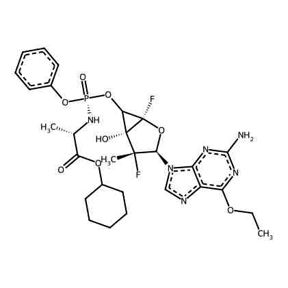 CCOc1nc(N)nc2c1ncn2[C@@H]1O[C@]2(F)C(O[P@@](=O)(N[C@@H](C)C(=O)OC3CCCCC3)Oc3ccccc3)[C@]2(O)[C@@]1(C)F